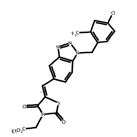 CCOC(=O)CN1C(=O)S/C(=C\c2ccc3c(c2)nnn3Cc2ccc(Cl)cc2C(F)(F)F)C1=O